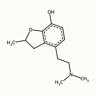 CC1Cc2c(CCN(C)C)ccc(O)c2O1